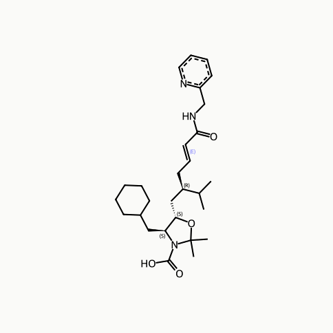 CC(C)[C@H](C/C=C/C(=O)NCc1ccccn1)C[C@@H]1OC(C)(C)N(C(=O)O)[C@H]1CC1CCCCC1